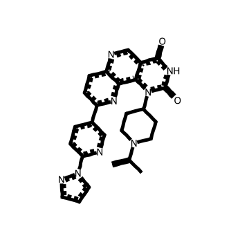 C=C(C)N1CCC(n2c(=O)[nH]c(=O)c3cnc4ccc(-c5ccc(-n6cccn6)nc5)nc4c32)CC1